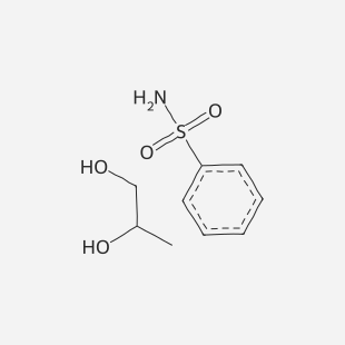 CC(O)CO.NS(=O)(=O)c1ccccc1